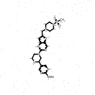 CNc1ncc(C2CN(c3ncc4sc(CN5CCN(S(C)(=O)=O)CC5)cc4n3)CCO2)cn1